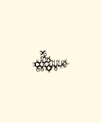 CC(C)(C)OC(=O)N1CCCC1c1nc2cccc(Cl)c2c(=O)n1-c1cccc(NC(=O)NCC2OCCO2)c1